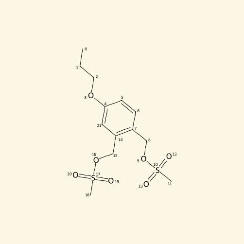 CCCOc1ccc(COS(C)(=O)=O)c(COS(C)(=O)=O)c1